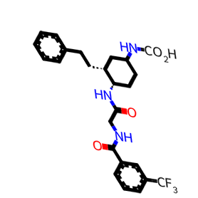 O=C(O)NC1CC[C@H](NC(=O)CNC(=O)c2cccc(C(F)(F)F)c2)[C@H](CCc2ccccc2)C1